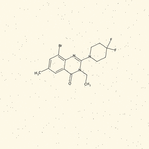 CCn1c(N2CCC(F)(F)CC2)nc2c(Br)cc(C)cc2c1=O